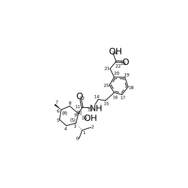 CC(C)[C@@H]1CC[C@@H](C)C[C@@]1(O)C(=O)NCCc1cccc(CC(=O)O)c1